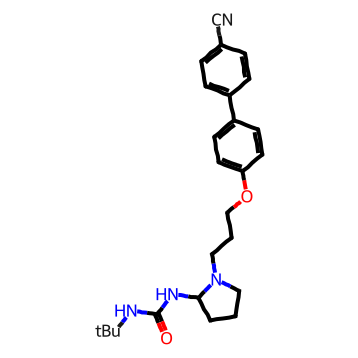 CC(C)(C)NC(=O)NC1CCCN1CCCOc1ccc(-c2ccc(C#N)cc2)cc1